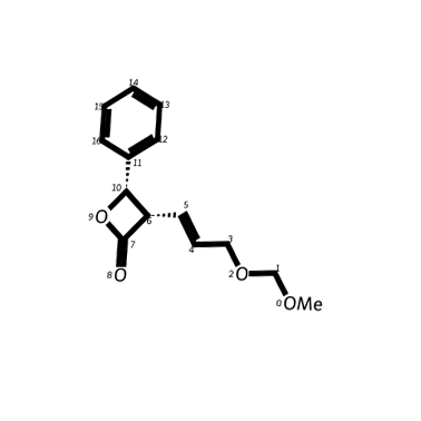 COCOC/C=C/[C@@H]1C(=O)O[C@@H]1c1ccccc1